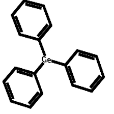 c1cc[c]([Ge]([c]2ccccc2)[c]2ccccc2)cc1